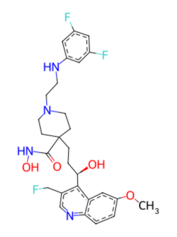 COc1ccc2ncc(CF)c([C@H](O)CCC3(C(=O)NO)CCN(CCNc4cc(F)cc(F)c4)CC3)c2c1